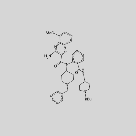 CCCCN1CCC(NC(=O)c2ccccc2N(C(=O)c2cc3cccc(OC)c3nc2N)C2CCN(Cc3ccccc3)CC2)CC1